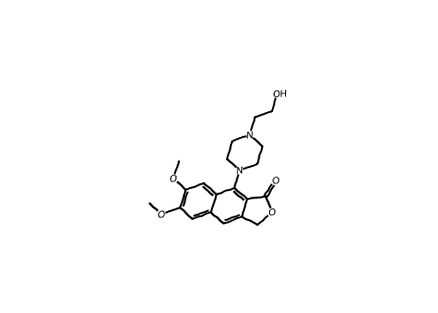 COc1cc2cc3c(c(N4CCN(CCO)CC4)c2cc1OC)C(=O)OC3